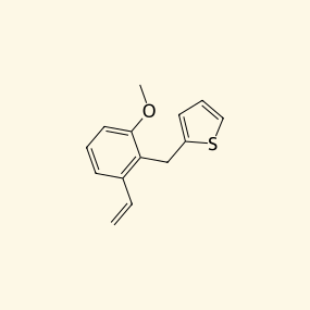 C=Cc1cccc(OC)c1Cc1cccs1